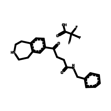 O=C(CCC(=O)c1ccc2c(c1)CCNCC2)NCc1ccccc1.O=C(O)C(F)(F)F